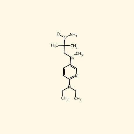 CCN(CC)c1ccc([C@@H](C)CC(C)(C)[S+](N)[O-])cn1